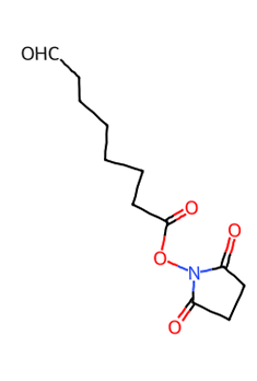 O=CCCCCCCC(=O)ON1C(=O)CCC1=O